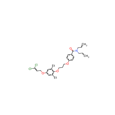 C=CCN(CC=C)C(=O)c1ccc(OCCCOc2c(CC)cc(OCC=C(Cl)Cl)cc2CC)cc1